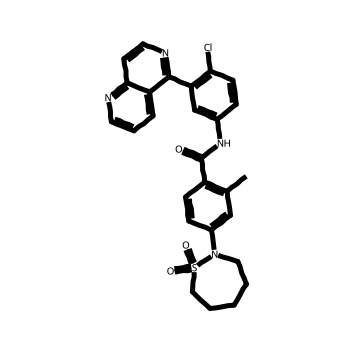 Cc1cc(N2CCCCCS2(=O)=O)ccc1C(=O)Nc1ccc(Cl)c(-c2nccc3ncccc23)c1